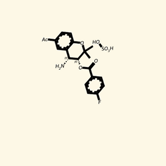 CC(=O)c1ccc2c(c1)[C@@H](N)[C@@H](OC(=O)c1ccc(F)cc1)C(C)(C)O2.O=S(=O)(O)O